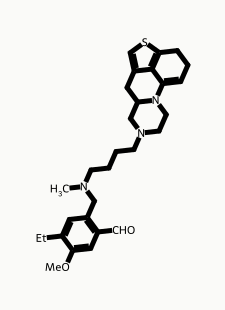 CCc1cc(CN(C)CCCCN2CCN3C4=CCCc5scc(c54)CC3C2)c(C=O)cc1OC